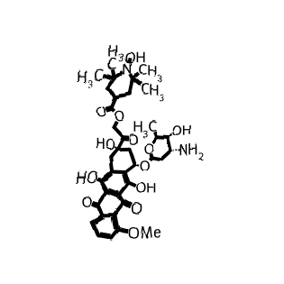 COc1cccc2c1C(=O)c1c(O)c3c(c(O)c1C2=O)C[C@@](O)(C(=O)COC(=O)C1CC(C)(C)N(O)C(C)(C)C1)C[C@@H]3OC1C[C@@H](N)[C@H](O)C(C)O1